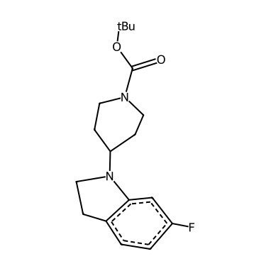 CC(C)(C)OC(=O)N1CCC(N2CCc3ccc(F)cc32)CC1